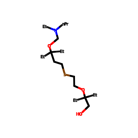 CCCN(CC)COC(CC)(CC)CCSCCOC(CC)(CC)CO